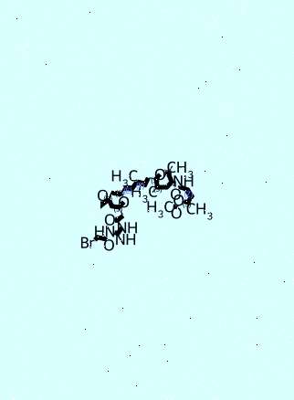 CC(=O)O[C@@H](C)/C=C\C(=O)N[C@@H]1C[C@H](C)[C@H](C/C=C(C)/C=C/[C@@H]2C[C@]3(CO3)C[C@@H](CC(=O)NC(=N)NC(=O)CBr)O2)O[C@@H]1C